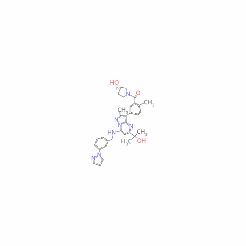 Cc1ccc(-c2c(C)nn3c(NCc4cccc(-n5cccn5)c4)cc(C(C)(C)O)nc23)cc1C(=O)N1CC[C@H](O)C1